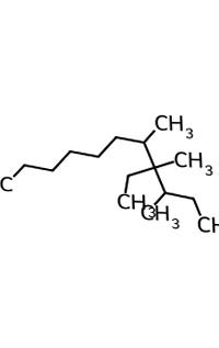 CCCCCCC(C)C(C)(CC)C(C)CC